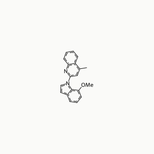 COc1cccc2ccn(-c3cc(C)c4ccccc4n3)c12